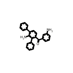 Nc1cccc(C(=O)c2ccc(-c3ccccc3)c(N)c2-c2ccccc2)c1